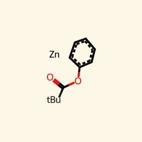 CC(C)(C)C(=O)Oc1ccccc1.[Zn]